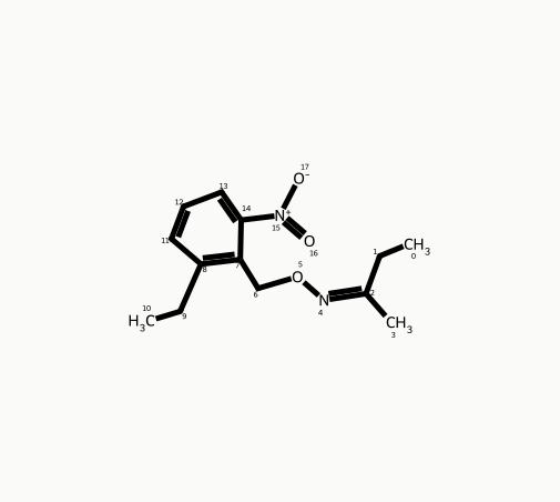 CCC(C)=NOCc1c(CC)cccc1[N+](=O)[O-]